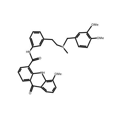 COc1ccc(CN(C)CCc2cccc(NC(=O)c3cccc4c(=O)c5cccc(OC)c5[nH]c34)c2)cc1OC